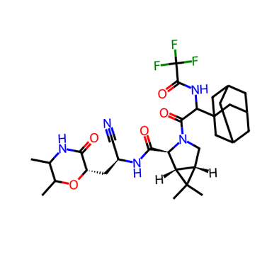 CC1NC(=O)[C@H](C[C@@H](C#N)NC(=O)[C@@H]2[C@@H]3[C@H](CN2C(=O)C(NC(=O)C(F)(F)F)C24CC5CC(CC(C5)C2)C4)C3(C)C)OC1C